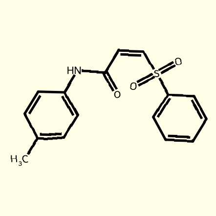 Cc1ccc(NC(=O)/C=C\S(=O)(=O)c2ccccc2)cc1